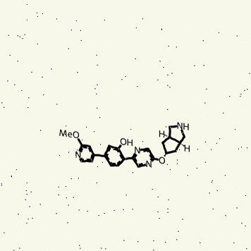 COc1cc(-c2ccc(-c3cnc(O[C@@H]4C[C@H]5CNC[C@H]5C4)cn3)c(O)c2)ccn1